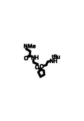 CNCCC(=O)NCCOC1(OCCNC(C)(C)C)CCCC1